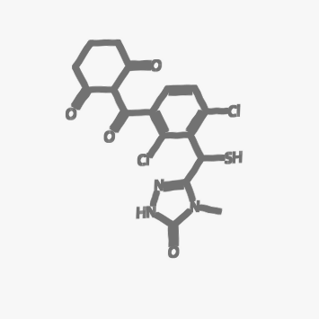 Cn1c(C(S)c2c(Cl)ccc(C(=O)C3C(=O)CCCC3=O)c2Cl)n[nH]c1=O